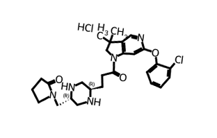 CC1(C)CN(C(=O)CC[C@@H]2CN[C@@H](CN3CCCC3=O)CN2)c2cc(Oc3ccccc3Cl)ncc21.Cl